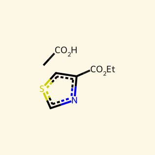 CC(=O)O.CCOC(=O)c1cscn1